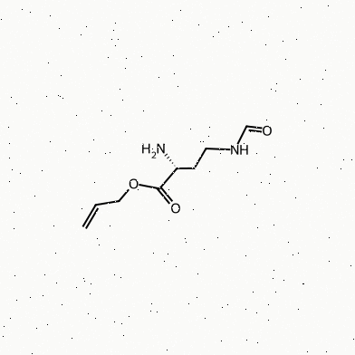 C=CCOC(=O)[C@H](N)CCNC=O